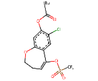 CC(C)(C)C(=O)Oc1cc2c(cc1Cl)C(OS(=O)(=O)C(F)(F)F)=CCCO2